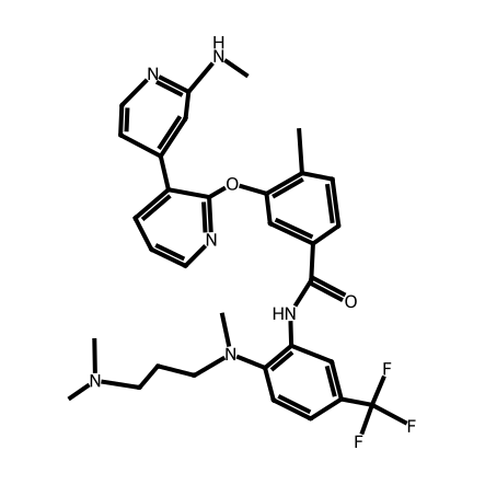 CNc1cc(-c2cccnc2Oc2cc(C(=O)Nc3cc(C(F)(F)F)ccc3N(C)CCCN(C)C)ccc2C)ccn1